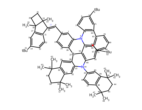 CC(C)(C)c1ccc(N2c3cc(/C=C4\c5ccc(C(C)(C)C)cc5C5(C)CCC45C)ccc3B3c4cc5c(cc4N(c4ccc6c(c4)C(C)(C)CCC6(C)C)c4cc(C(C)(C)C)cc2c43)C(C)(C)CCC5(C)C)c(-c2ccccc2)c1